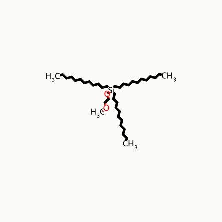 CCCCCCCCCCCC[Si](CCCCCCCCCCCC)(CCCCCCCCCCCC)OCCOC